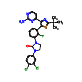 CC(C)(C)c1nc(-c2ccnc(N)n2)c(-c2cccc(N3CCN(c4ccc(Cl)c(Cl)c4)C3=O)c2F)s1